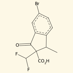 CC1c2ccc(Br)cc2C(=O)C1(C(=O)O)C(F)F